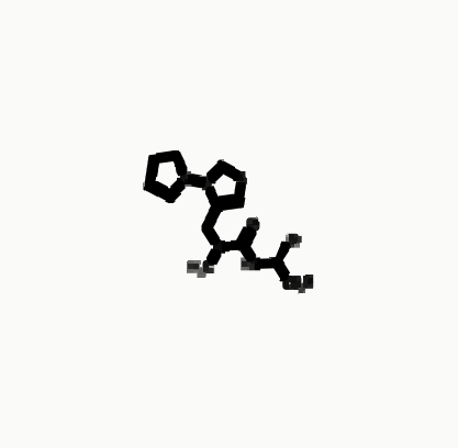 CC(C)[C@H](NC(=O)N(C)CC1=CSCN1N1CCCC1)C(=O)O